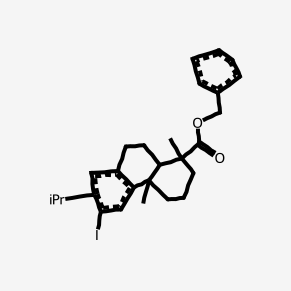 CC(C)c1cc2c(cc1I)C1(C)CCCC(C)(C(=O)OCc3ccccc3)C1CC2